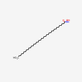 O=C(O)CCCCCCCCCCCCCCCCCCCCCCCCCCCCCCCCCCCCC(=O)NO